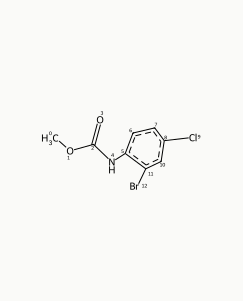 COC(=O)Nc1ccc(Cl)cc1Br